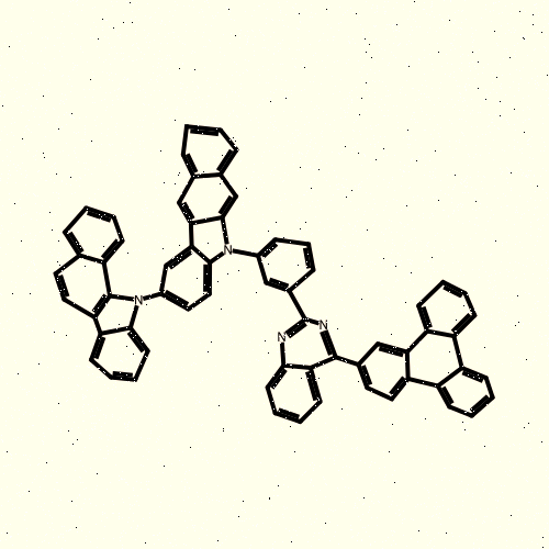 c1cc(-c2nc(-c3ccc4c5ccccc5c5ccccc5c4c3)c3ccccc3n2)cc(-n2c3ccc(-n4c5ccccc5c5ccc6ccccc6c54)cc3c3cc4ccccc4cc32)c1